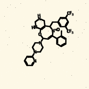 Cc1ccccc1/C1=C/C(N2CCN(c3ccccn3)CC2)OC2=C(CNCN2)C(Cc2cc(C(F)(F)F)cc(C(F)(F)F)c2)[N+]1=O